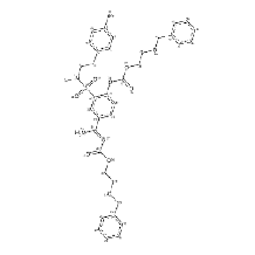 CC(C)c1ccc(CCN(C)S(=O)(=O)c2cc(/C(N)=N/C(=O)OCCOCc3ccccc3)ccc2OC(=O)OCCOCc2ccccc2)cc1